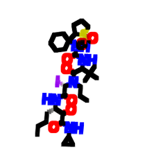 CCCC[C@H](NC(=O)[C@H](I)N(CCC)C(=O)[C@@H](NC(=O)NC1(C2CCCS2(=O)=O)CCCCC1)C(C)(C)C)C(=O)C(=O)NC1CC1